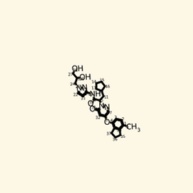 Cc1ccc(Oc2cnn(C(CC3CCCC3)C(=O)Nc3ccn(CC(O)CO)n3)c(=O)c2)c2c1CCC2